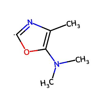 Cc1n[c]oc1N(C)C